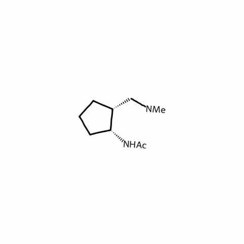 CNC[C@H]1CCC[C@H]1NC(C)=O